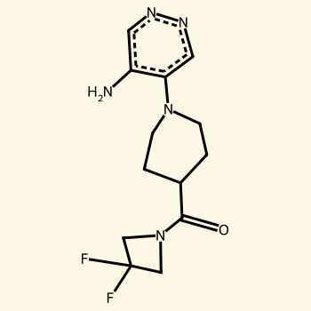 Nc1cnncc1N1CCC(C(=O)N2CC(F)(F)C2)CC1